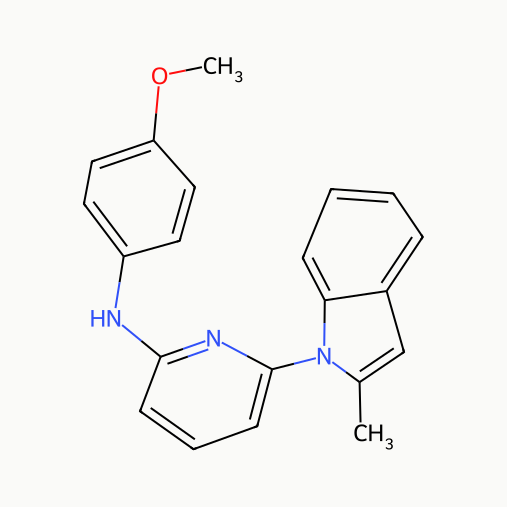 COc1ccc(Nc2cccc(-n3c(C)cc4ccccc43)n2)cc1